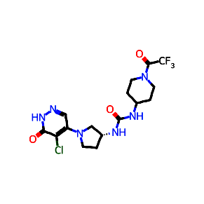 O=C(NC1CCN(C(=O)C(F)(F)F)CC1)N[C@@H]1CCN(c2cn[nH]c(=O)c2Cl)C1